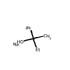 CCC(C)(O)C(C)C.[Na]